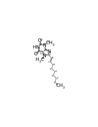 CCCCCCCC=Cc1nc2c(c(=O)[nH]c(=O)n2C)n1C